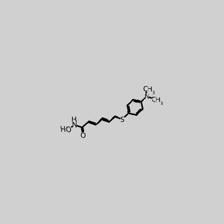 CN(C)c1ccc(SCC=CC=CC(=O)NO)cc1